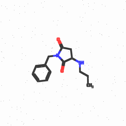 CCCNC1CC(=O)N(Cc2ccccc2)C1=O